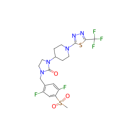 CS(=O)(=O)c1cc(F)c(CN2CCN(C3CCN(c4nnc(C(F)(F)F)s4)CC3)C2=O)cc1F